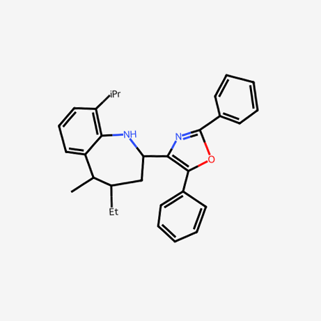 CCC1CC(c2nc(-c3ccccc3)oc2-c2ccccc2)Nc2c(C(C)C)cccc2C1C